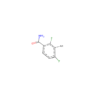 CCc1c(F)ccc(C(N)=O)c1F